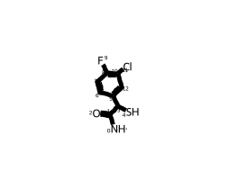 [NH]C(=O)C(S)c1ccc(F)c(Cl)c1